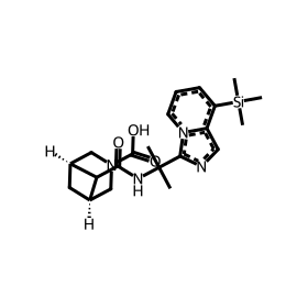 CC(C)(NC(=O)C1[C@@H]2C[C@H]1CN(C(=O)O)C2)c1ncc2c([Si](C)(C)C)cccn12